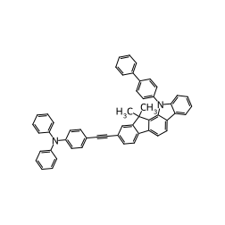 CC1(C)c2cc(C#Cc3ccc(N(c4ccccc4)c4ccccc4)cc3)ccc2-c2ccc3c4ccccc4n(-c4ccc(-c5ccccc5)cc4)c3c21